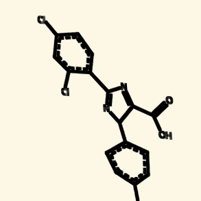 O=C(O)C1=NC(c2ccc(Cl)cc2Cl)=NC1c1ccc(Cl)cc1